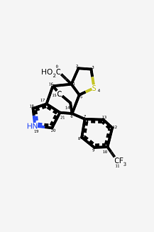 O=C(O)C12CCSC1C1(c3ccc(C(F)(F)F)cc3)CCC2c2c[nH]cc21